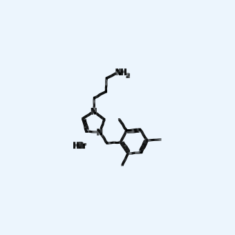 Br.Cc1cc(C)c(CN2C=CN(CCCN)C2)c(C)c1